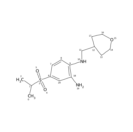 CC(C)S(=O)(=O)c1ccc(NCC2CCOCC2)c(N)c1